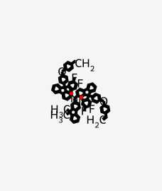 C=Cc1ccc(Oc2ccc(C3(c4cc(F)c(F)cc4F)c4ccccc4-c4ccc(N(c5ccc6c(c5)C(C)(C)c5ccccc5-6)c5ccc6c(c5)C(c5ccc(Oc7ccc(C=C)cc7)cc5)(c5cc(F)c(F)cc5F)c5ccccc5-6)cc43)cc2)cc1